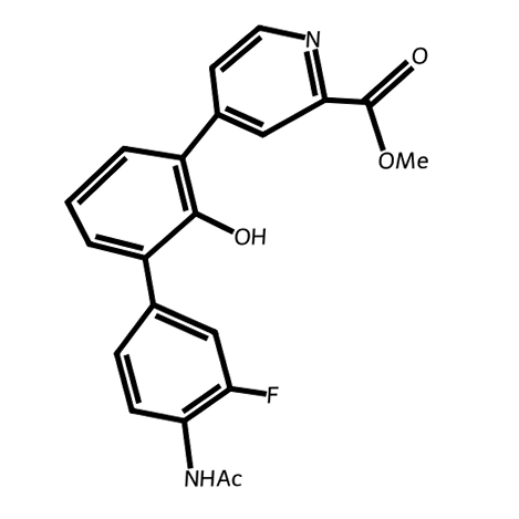 COC(=O)c1cc(-c2cccc(-c3ccc(NC(C)=O)c(F)c3)c2O)ccn1